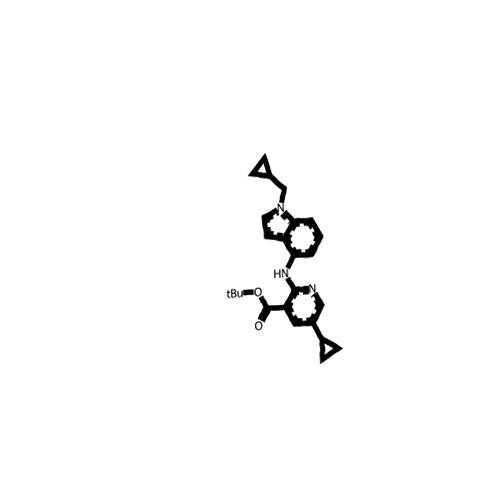 CC(C)(C)OC(=O)c1cc(C2CC2)cnc1Nc1cccc2c1ccn2CC1CC1